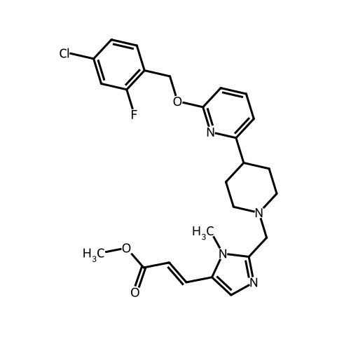 COC(=O)C=Cc1cnc(CN2CCC(c3cccc(OCc4ccc(Cl)cc4F)n3)CC2)n1C